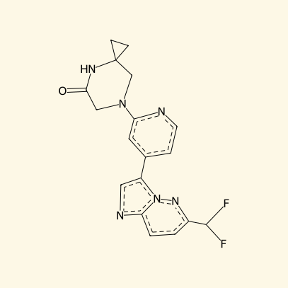 O=C1CN(c2cc(-c3cnc4ccc(C(F)F)nn34)ccn2)CC2(CC2)N1